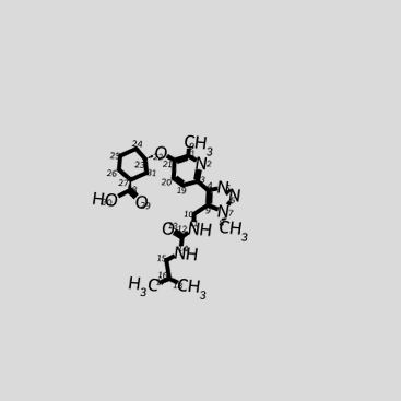 Cc1nc(-c2nnn(C)c2CNC(=O)NCC(C)C)ccc1O[C@H]1CCC[C@H](C(=O)O)C1